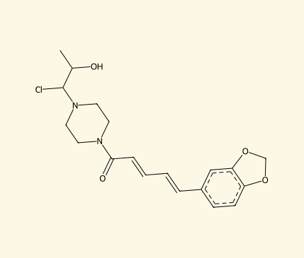 CC(O)C(Cl)N1CCN(C(=O)C=CC=Cc2ccc3c(c2)OCO3)CC1